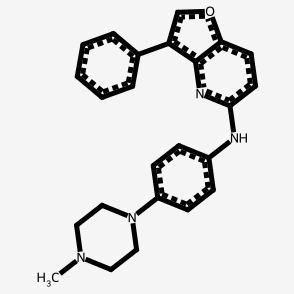 CN1CCN(c2ccc(Nc3ccc4occ(-c5ccccc5)c4n3)cc2)CC1